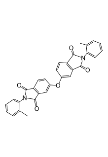 Cc1ccccc1N1C(=O)c2ccc(Oc3ccc4c(c3)C(=O)N(c3ccccc3C)C4=O)cc2C1=O